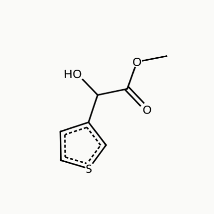 COC(=O)C(O)c1ccsc1